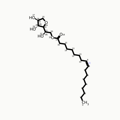 CCCCCCCC/C=C\CCCCCCCC(=O)OC[C@@H](O)C1OC[C@H](O)[C@H]1O